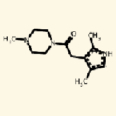 Cc1[c][nH]c(C)c1CC(=O)N1CCN(C)CC1